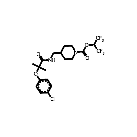 CC(C)(Oc1ccc(Cl)cc1)C(=O)NCC1CCN(C(=O)OC(C(F)(F)F)C(F)(F)F)CC1